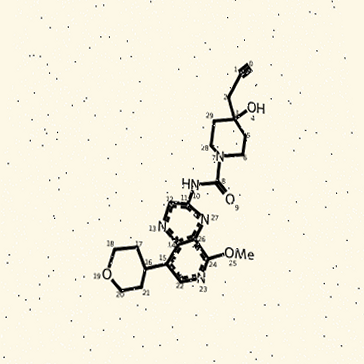 C#CCC1(O)CCN(C(=O)Nc2cnc3c(C4CCOCC4)cnc(OC)c3n2)CC1